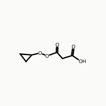 O=C(O)CC(=O)OOC1CC1